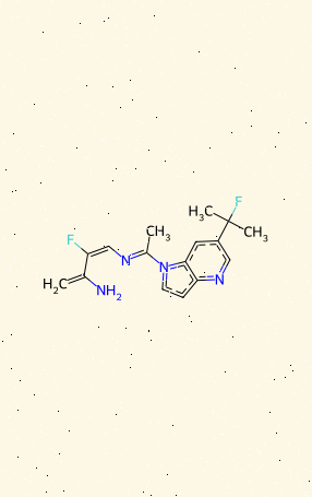 C=C(N)/C(F)=C\N=C(/C)n1ccc2ncc(C(C)(C)F)cc21